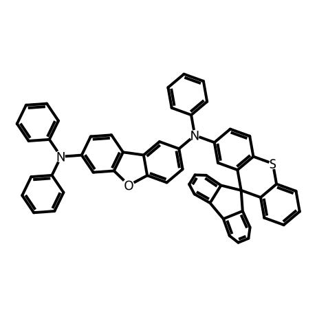 c1ccc(N(c2ccccc2)c2ccc3c(c2)oc2ccc(N(c4ccccc4)c4ccc5c(c4)C4(c6ccccc6S5)c5ccccc5-c5ccccc54)cc23)cc1